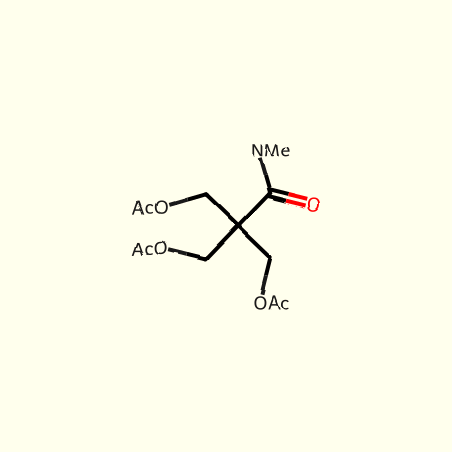 CNC(=O)C(COC(C)=O)(COC(C)=O)COC(C)=O